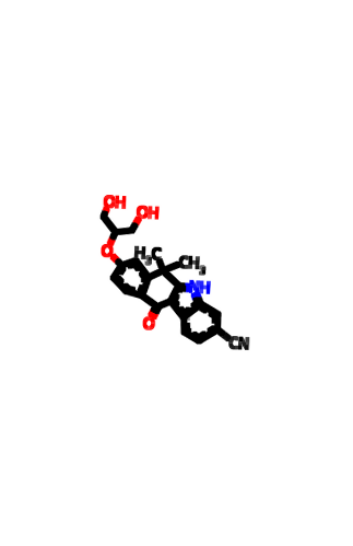 CC1(C)c2cc(OC(CO)CO)ccc2C(=O)c2c1[nH]c1cc(C#N)ccc21